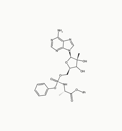 CC(C)OC(=O)[C@H](C)NP(=O)(OC[C@H]1O[C@@H](n2cnc3c(N)ncnc32)[C@](C)(O)C1O)Oc1ccccc1